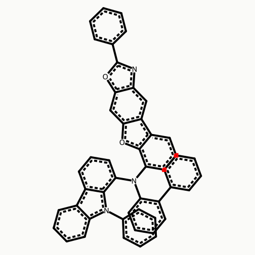 c1ccc(-c2nc3cc4c(cc3o2)oc2c(N(c3ccccc3-c3ccccc3)c3cccc5c6ccccc6n(-c6ccccc6)c35)cccc24)cc1